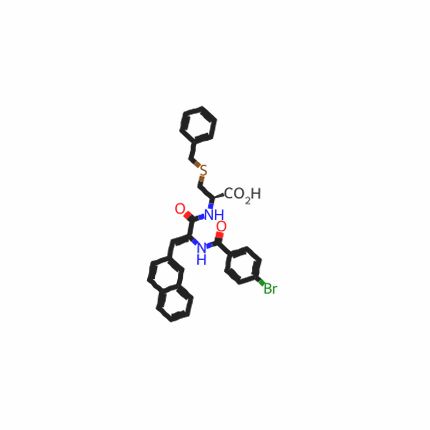 O=C(N[C@@H](CSCc1ccccc1)C(=O)O)C(=Cc1ccc2ccccc2c1)NC(=O)c1ccc(Br)cc1